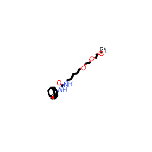 CCOCCOCCOCCCCCNC(=O)NC12CCC3CC(CC(C3)C1)C2